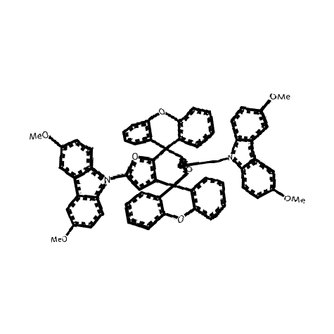 COc1ccc2c(c1)c1cc(OC)ccc1n2-c1cc2c(o1)C1(c3ccccc3Oc3ccccc31)c1cc(-n3c4ccc(OC)cc4c4cc(OC)ccc43)oc1C21c2ccccc2Oc2ccccc21